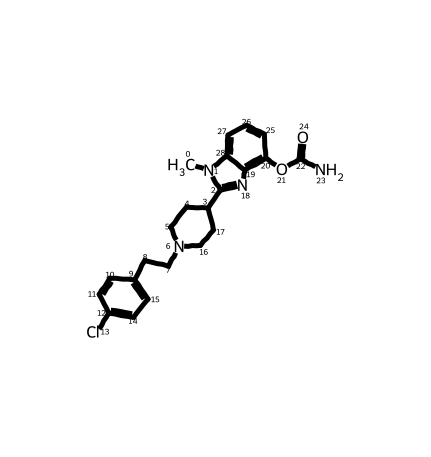 Cn1c(C2CCN(CCc3ccc(Cl)cc3)CC2)nc2c(OC(N)=O)cccc21